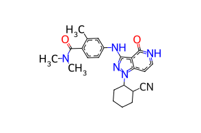 Cc1cc(Nc2nn(C3CCCCC3C#N)c3cc[nH]c(=O)c23)ccc1C(=O)N(C)C